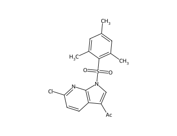 CC(=O)c1cn(S(=O)(=O)c2c(C)cc(C)cc2C)c2nc(Cl)ccc12